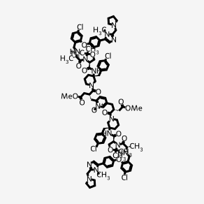 COC(=O)C[C@@H](Cc1ccc(C[C@H](CC(=O)OC)C(=O)N2CCC[C@](Cc3ccc(Cl)cc3)(NC(=O)[C@@H]3COC(C)(C)N3C(=O)[C@H](C)NCc3ccc(Cl)cc3Oc3ccc(-c4cnc(CN5CCCC5)n4C)cc3)C2)[n+]([O-])c1)C(=O)N1CCC[C@](Cc2ccc(Cl)cc2)(NC(=O)[C@@H]2COC(C)(C)N2C(=O)[C@H](C)NCc2ccc(Cl)cc2Oc2ccc(-c3cnc(CN4CCCC4)n3C)cc2)C1